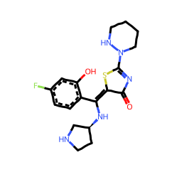 O=C1N=C(N2CCCCN2)SC1=C(N[C@H]1CCNC1)c1ccc(F)cc1O